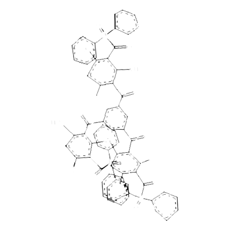 Cc1cc(C)c(C(=O)P(=O)(c2ccccc2)c2ccccc2)c(C)c1C(=O)c1cc(C(=O)c2c(C)cc(C)c(C(=O)P(=O)(c3ccccc3)c3ccccc3)c2C)cc(C(=O)c2c(C)cc(C)c(C(=O)P(=O)(c3ccccc3)c3ccccc3)c2C)c1